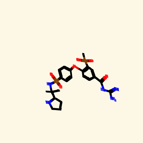 CC(C)(NS(=O)(=O)c1ccc(Oc2ccc(C(=O)NC(=N)N)cc2S(C)(=O)=O)cc1)C1CCCN1